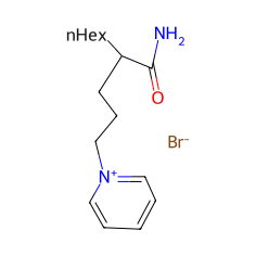 CCCCCCC(CCC[n+]1ccccc1)C(N)=O.[Br-]